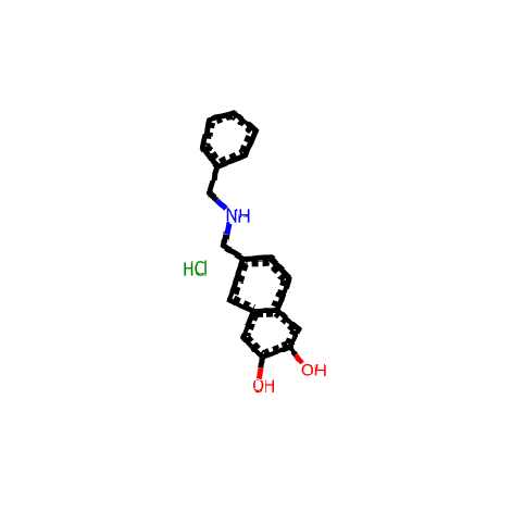 Cl.Oc1cc2ccc(CNCc3ccccc3)cc2cc1O